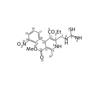 CCOC(=O)C1=C(CNC(=N)S)NC(C)=C(C(=O)OC)C1c1cccc([N+](=O)[O-])c1